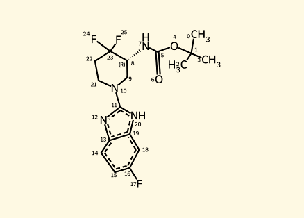 CC(C)(C)OC(=O)N[C@@H]1CN(c2nc3ccc(F)cc3[nH]2)CCC1(F)F